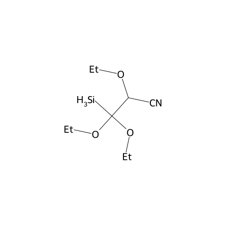 CCOC(C#N)C([SiH3])(OCC)OCC